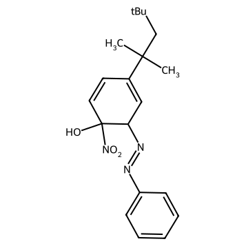 CC(C)(C)CC(C)(C)C1=CC(/N=N/c2ccccc2)C(O)([N+](=O)[O-])C=C1